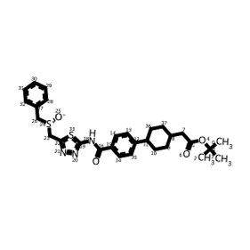 CC(C)(C)OC(=O)CC1CCC(c2ccc(C(=O)Nc3nnc(C[S+]([O-])Cc4ccccc4)s3)cc2)CC1